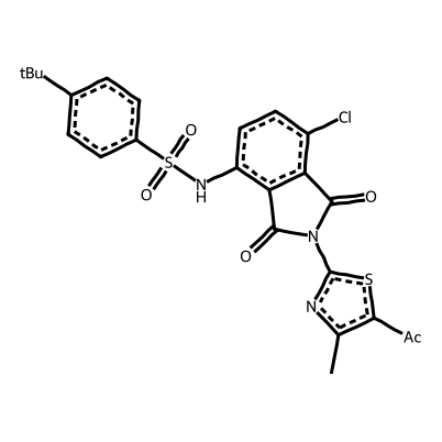 CC(=O)c1sc(N2C(=O)c3c(Cl)ccc(NS(=O)(=O)c4ccc(C(C)(C)C)cc4)c3C2=O)nc1C